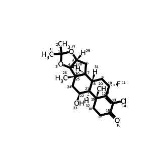 CC1(C)O[C@@H]2[C@@H](C[C@H]3[C@@H]4C[C@H](F)C5=C(Cl)C(=O)CC[C@]5(C)[C@H]4[C@@H](O)C[C@]23C)O1